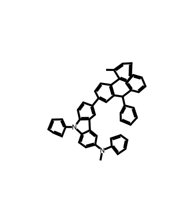 Cc1ccccc1-c1ccc(-c2ccc3c(c2)c2cc(N(C)c4ccccc4)ccc2n3-c2ccccc2)cc1C(c1ccccc1)c1ccccc1